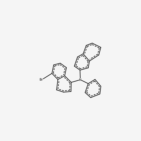 Brc1cccc2c(N(c3ccccc3)c3ccc4ccccc4c3)cccc12